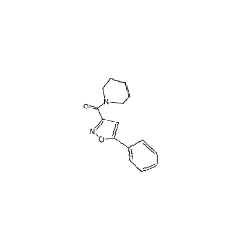 O=C(c1cc(-c2ccccc2)on1)N1CCCCC1